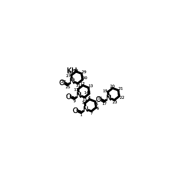 O=CN1CCCCC1.O=CN1CCCCC1.O=CN1CCCCC1.O=CN1CCCCC1.[KH]